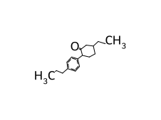 CCCc1ccc(C2CCC(CCC)CC2=O)cc1